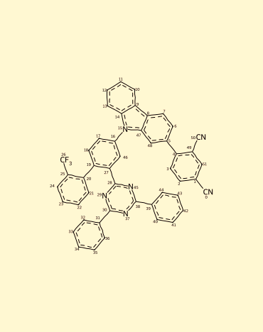 N#Cc1ccc(-c2ccc3c4ccccc4n(-c4ccc(-c5ccccc5C(F)(F)F)c(-c5nc(-c6ccccc6)nc(-c6ccccc6)n5)c4)c3c2)c(C#N)c1